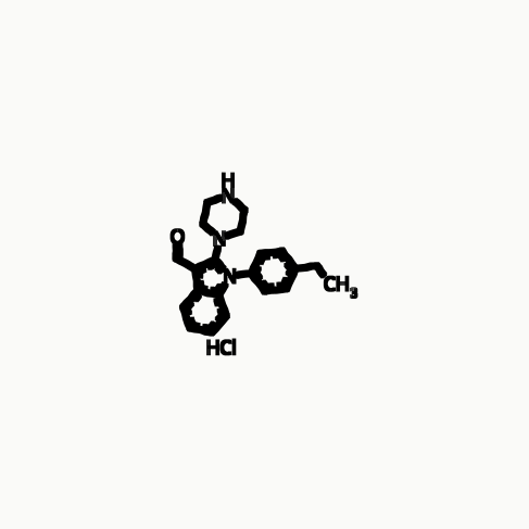 CCc1ccc(-n2c(N3CCNCC3)c(C=O)c3ccccc32)cc1.Cl